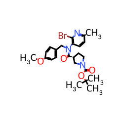 COc1ccc(CN(C(=O)[C@H]2CCN(C(=O)OC(C)(C)C)C2)c2ccc(C)nc2Br)cc1